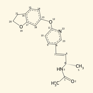 CC(=O)N[C@@H](C)/C=C/c1ccc(Oc2ccc3c(c2)OCC3)nc1